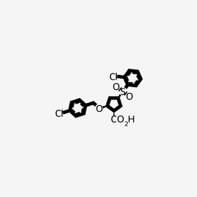 O=C(O)[C@H]1C[C@H](S(=O)(=O)c2ccccc2Cl)C[C@@H]1OCc1ccc(Cl)cc1